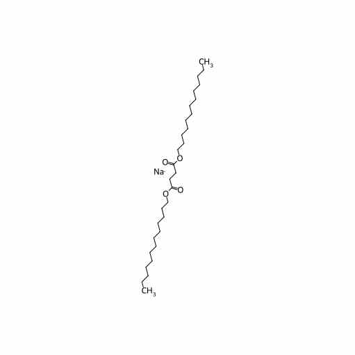 CCCCCCCCCCCCCOC(=O)CCC(=O)OCCCCCCCCCCCCC.[Na]